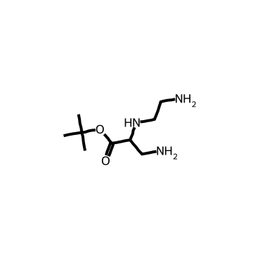 CC(C)(C)OC(=O)C(CN)NCCN